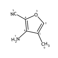 Cc1coc(C#N)c1N